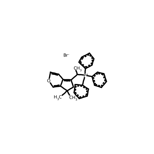 CC(C1=C2C=COC=C2C(C)(C)C1)[P+](c1ccccc1)(c1ccccc1)c1ccccc1.[Br-]